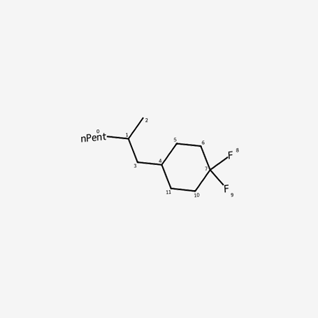 CCCCCC(C)CC1CCC(F)(F)CC1